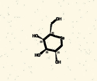 OC[C@@H]1[Se]C[C@H](O)[C@@H](O)[C@@H]1O